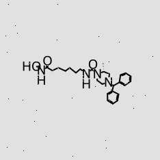 C[C@@H]1CN(C(c2ccccc2)c2ccccc2)CCN1C(=O)NCCCCCCC(=O)NO